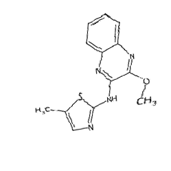 COc1nc2ccccc2nc1Nc1ncc(C)s1